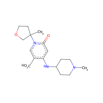 CN1CCC(Nc2cc(=O)n(C3(C)CCOC3)cc2C(=O)O)CC1